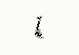 O=C(CCCCCO[N+](=O)[O-])O[C@@H]1CO[C@H]2[C@@H]1OC[C@H]2O